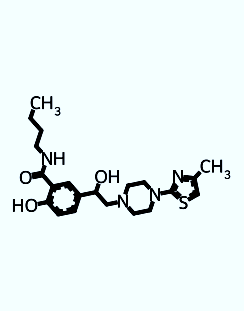 CCCCNC(=O)c1cc(C(O)CN2CCN(c3nc(C)cs3)CC2)ccc1O